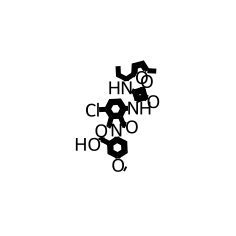 CCC(Nc1c(Nc2ccc(Cl)c3c2C(=O)N(c2ccc(OC)cc2C(=O)O)C3)c(=O)c1=O)c1ccc(C)o1